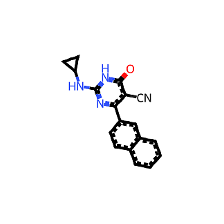 N#Cc1c(-c2ccc3ccccc3c2)nc(NC2CC2)[nH]c1=O